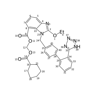 CCOc1nc2cccc(C(=O)OCOC(=O)C3CCCCC3)c2n1Cc1ccc(-c2ccccc2-c2nnn[nH]2)cc1